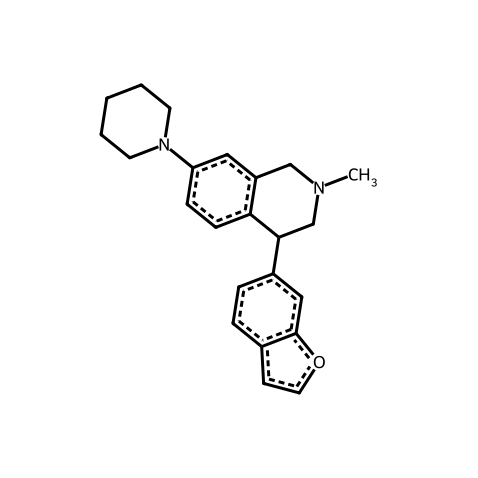 CN1Cc2cc(N3CCCCC3)ccc2C(c2ccc3ccoc3c2)C1